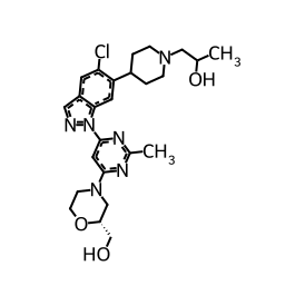 Cc1nc(N2CCO[C@@H](CO)C2)cc(-n2ncc3cc(Cl)c(C4CCN(CC(C)O)CC4)cc32)n1